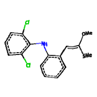 COC(=Cc1ccccc1Nc1c(Cl)cccc1Cl)SC